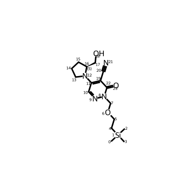 C[Si](C)(C)CCOCn1ncc(N2CCC[C@H]2CO)c(C#N)c1=O